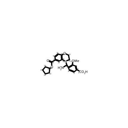 COc1cc(C(=O)O)ccc1C(N)N1CCOc2ccc(C(=O)OC3CCCC3)cc21